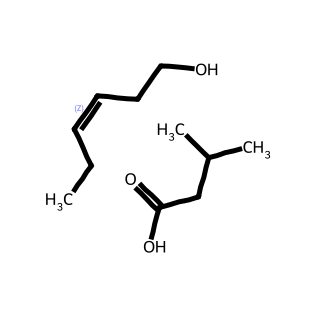 CC(C)CC(=O)O.CC/C=C\CCO